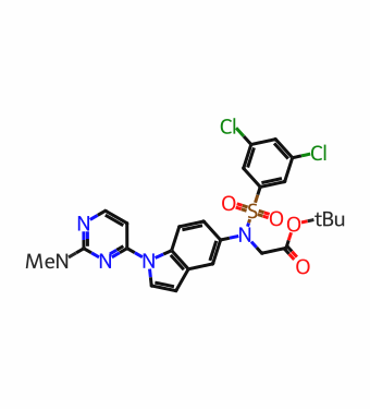 CNc1nccc(-n2ccc3cc(N(CC(=O)OC(C)(C)C)S(=O)(=O)c4cc(Cl)cc(Cl)c4)ccc32)n1